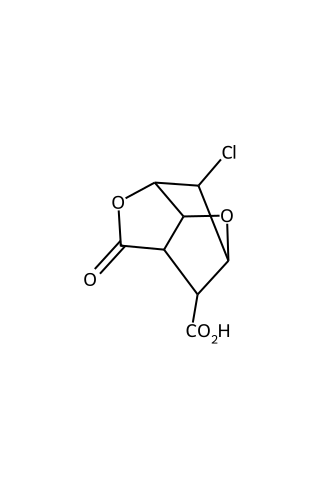 O=C(O)C1C2OC3C(OC(=O)C31)C2Cl